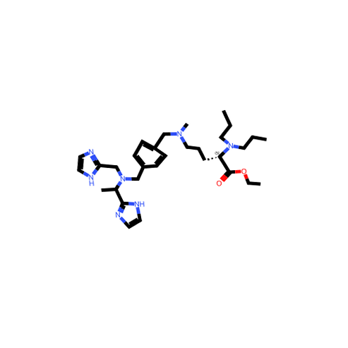 CCCN(CCC)[C@@H](CCCN(C)Cc1ccc(CN(Cc2ncc[nH]2)C(C)c2ncc[nH]2)cc1)C(=O)OCC